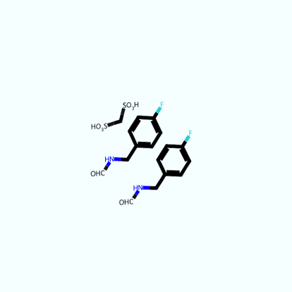 O=CNCc1ccc(F)cc1.O=CNCc1ccc(F)cc1.O=S(=O)(O)CS(=O)(=O)O